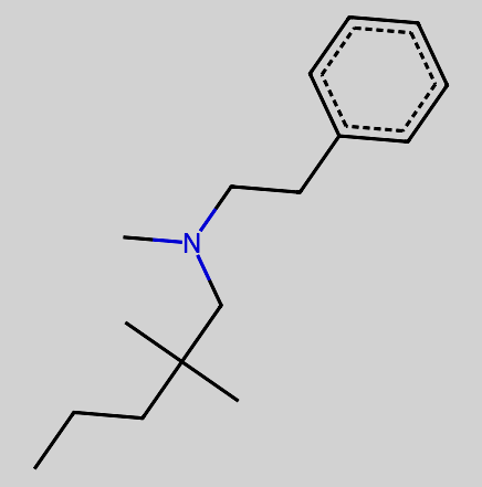 CCCC(C)(C)CN(C)CCc1ccccc1